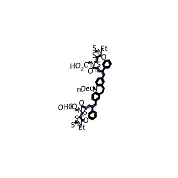 CCCCCCCCCCN1c2ccc(/C=C(\C=c3/s/c(=C4/SC(=S)N(CC)C4=O)n(COC=O)c3=O)c3ccccc3)cc2CCc2cc(/C=C(\C=c3/s/c(=C4/SC(=S)N(CC)C4=O)n(CC(=O)O)c3=O)c3ccccc3)ccc21